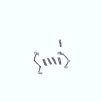 C=C.C=C.C=C.C=C.C=C.CCCCOCC.OCCO